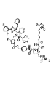 CC(C)[C@H](NC(=O)CCCCCN1C(=O)C=CC1=O)C(=O)N[C@@H](CCCNC(N)=O)C(=O)Nc1ccc(COC(=O)N2CC(F)C(CN(C(=O)N[C@@H](C)CO)C(c3nc(-c4cc(F)ccc4F)cn3Cc3ccccc3)C3CCOCC3)C2)cc1